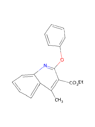 CCOC(=O)c1c(Oc2ccccc2)nc2ccccc2c1C